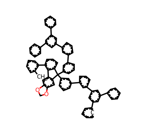 Cc1ccccc1-c1cccc2c1-c1cc3c(cc1C2(c1cccc(-c2cccc(-c4cc(-c5ccccc5)cc(-c5ccccc5)c4)c2)c1)c1cccc(-c2cccc(-c4cc(-c5ccccc5)cc(-c5ccccc5)c4)c2)c1)OCO3